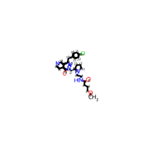 COCCCC(=O)NCCN1CCC[C@@H]1Cn1nc(Cc2ccc(Cl)cc2)c2cnccc2c1=O